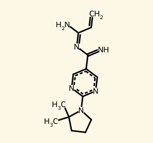 C=C/C(N)=N\C(=N)c1cnc(N2CCCC2(C)C)nc1